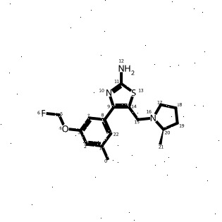 Cc1cc(OCF)cc(-c2nc(N)sc2CN2CCC[C@H]2C)c1